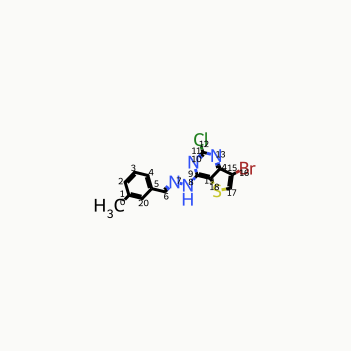 Cc1cccc(C=NNc2nc(Cl)nc3c(Br)csc23)c1